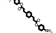 Nc1ccc(OC(=O)/C=C/c2ccc(/C=C/C(=O)Oc3ccc(N)cc3)cc2)cc1